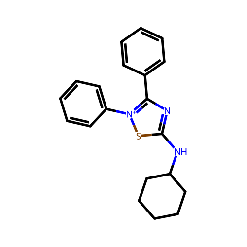 c1ccc(-c2nc(NC3CCCCC3)s[n+]2-c2ccccc2)cc1